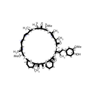 CO[C@H]1C[C@@H]2CC[C@@H](C)[C@@](O)(O2)C(=O)C(=O)N2CCCC[C@H]2C(=O)O[C@H]([C@H](C)C[C@@H]2CC[C@@H](O)[C@H](OC)C2)CC(=O)[C@H](C)/C=C(\C)C[C@@H](OC)C(=O)[C@H](C)C[C@H](C)/C=C/C=C/C=C/1C